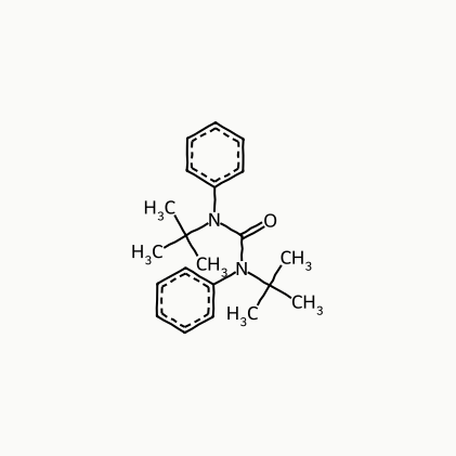 CC(C)(C)N(C(=O)N(c1ccccc1)C(C)(C)C)c1ccccc1